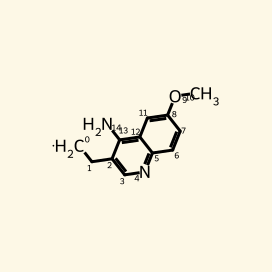 [CH2]Cc1cnc2ccc(OC)cc2c1N